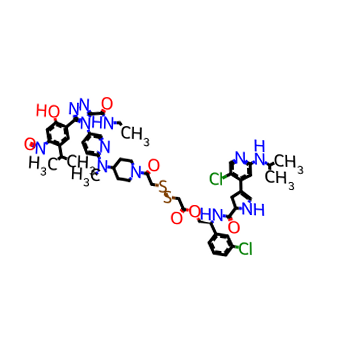 CCNC(=O)c1nnc(-c2cc(C(C)C)c(N=O)cc2O)n1-c1ccc(N(C)C2CCN(C(=O)CSSCC(=O)OC[C@@H](NC(=O)C3CC(c4cc(NC(C)C)ncc4Cl)=CN3)c3cccc(Cl)c3)CC2)nc1